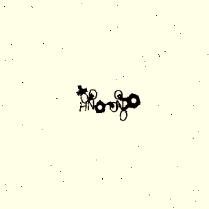 CC(C)(C)OC(=O)N[C@@H]1CC[C@H](CON2C(=O)c3ccccc3C2=O)C1